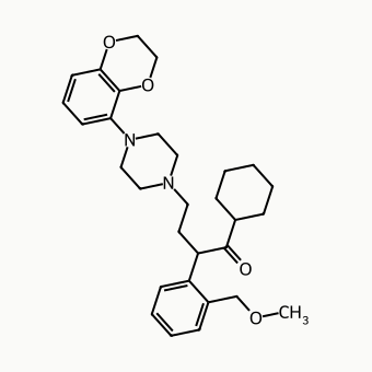 COCc1ccccc1C(CCN1CCN(c2cccc3c2OCCO3)CC1)C(=O)C1CCCCC1